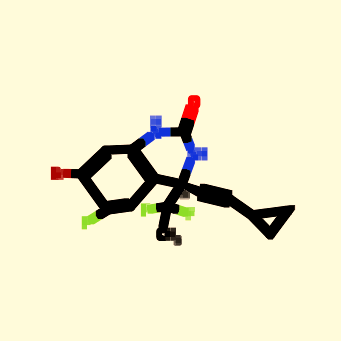 CC(F)(F)[C@@]1(C#CC2CC2)NC(=O)Nc2cc(Br)c(F)cc21